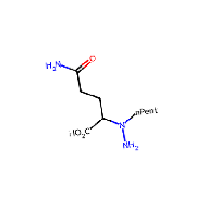 CCCCCN(N)C(CCC(N)=O)C(=O)O